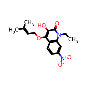 CCn1c(=O)c(O)c(OCC=C(C)C)c2ccc([N+](=O)[O-])cc21